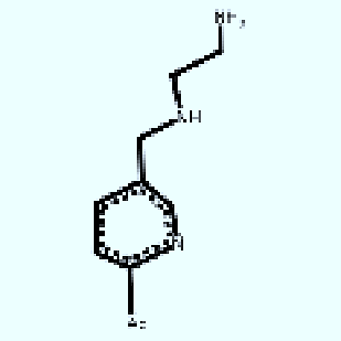 CC(=O)c1ccc(CNCCN)cn1